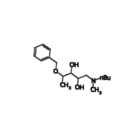 CCCCN(C)CC(O)C(O)C(C)OCc1ccccc1